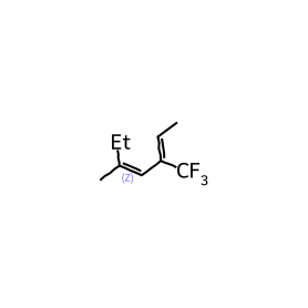 CC=C(/C=C(/C)CC)C(F)(F)F